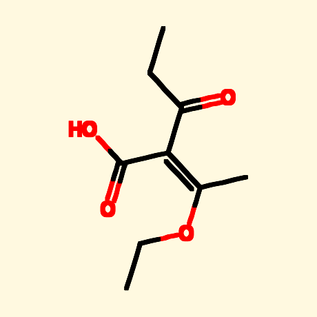 CCOC(C)=C(C(=O)O)C(=O)CC